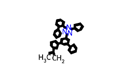 C=C/C(=C\C)c1cccc(-c2cc(-c3ccccc3)cc(-c3nc(-c4ccccc4)nc(-c4ccccc4-c4ccccc4)n3)c2)c1